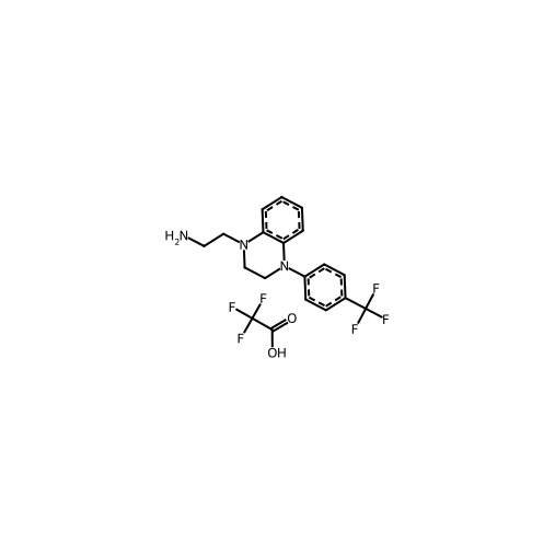 NCCN1CCN(c2ccc(C(F)(F)F)cc2)c2ccccc21.O=C(O)C(F)(F)F